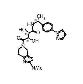 CNc1nc2c(s1)CN(C(=O)[C@H](O)[C@@H](O)C(=O)N[C@H](C)c1ccc(-n3cccn3)cc1)CC2